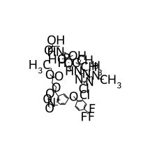 CCNc1nc(Cl)nc(NC(C)(C)C)n1.CCOC(=O)COC(=O)c1cc(Oc2ccc(C(F)(F)F)cc2Cl)ccc1[N+](=O)[O-].O=C(O)CNCP(=O)(O)O